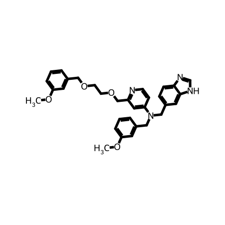 COc1cccc(COCCOCc2cc(N(Cc3cccc(OC)c3)Cc3ccc4nc[nH]c4c3)ccn2)c1